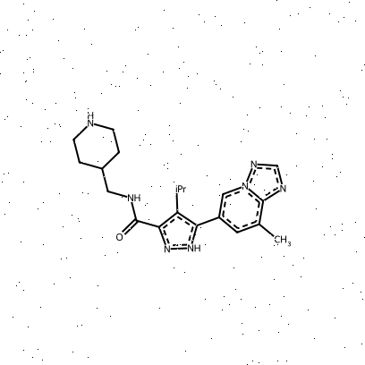 Cc1cc(-c2[nH]nc(C(=O)NCC3CCNCC3)c2C(C)C)cn2ncnc12